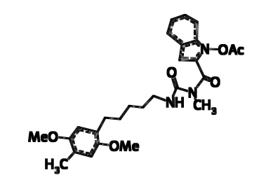 COc1cc(CCCCCNC(=O)N(C)C(=O)c2cc3ccccc3n2OC(C)=O)c(OC)cc1C